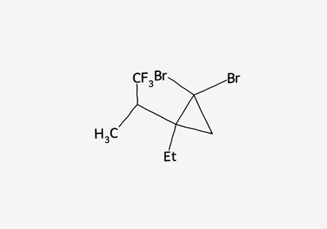 CCC1(C(C)C(F)(F)F)CC1(Br)Br